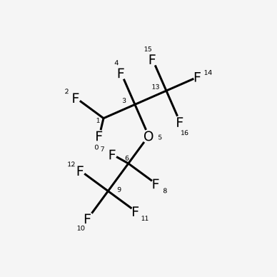 FC(F)C(F)(OC(F)(F)C(F)(F)F)C(F)(F)F